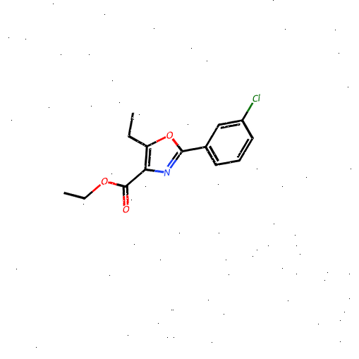 CCOC(=O)c1nc(-c2cccc(Cl)c2)oc1CC